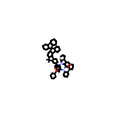 CC1(C)c2cc(-c3cc(-c4ccccc4)cc(N(c4ccccc4-c4ccccc4)c4cccc5c6ccccc6n(-c6ccccc6)c45)c3)ccc2-c2c1ccc1c2-c2ccccc2C12c1ccccc1-c1ccccc12